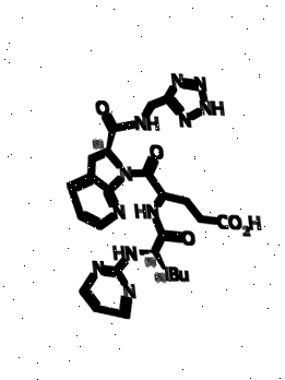 CC[C@H](C)[C@H](Nc1ncccn1)C(=O)NC(CCC(=O)O)C(=O)N1c2ncccc2C[C@H]1C(=O)NCc1nn[nH]n1